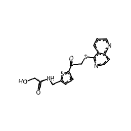 O=C(CO)NCc1ccc(C(=O)CSc2nccc3ncccc23)s1